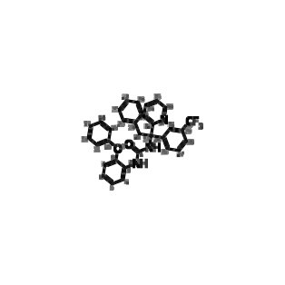 O=C(Nc1ccccc1Oc1ccccc1)NC(Cc1ccccc1)(c1cccc(C(F)(F)F)c1)c1ccccn1